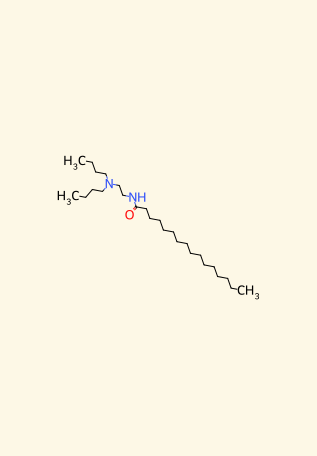 CCCCCCCCCCCCCCCC(=O)NCCN(CCCC)CCCC